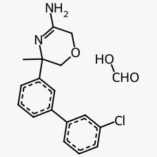 CC1(c2cccc(-c3cccc(Cl)c3)c2)COCC(N)=N1.O=CO